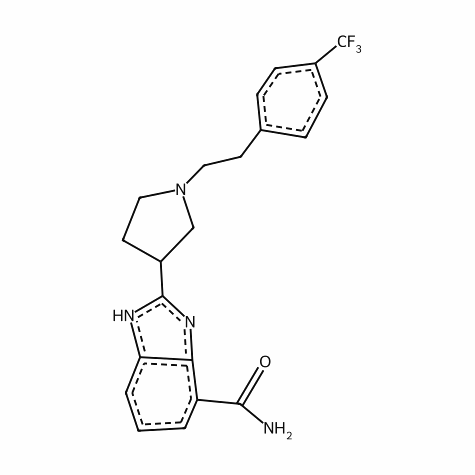 NC(=O)c1cccc2[nH]c(C3CCN(CCc4ccc(C(F)(F)F)cc4)C3)nc12